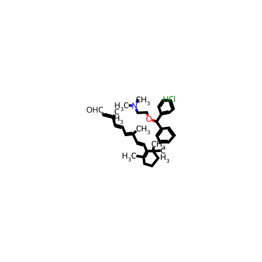 CC1=C(/C=C/C(C)=C/C=C/C(C)=C/C=O)C(C)(C)CCC1.CN(C)CCOC(c1ccccc1)c1ccccc1.Cl